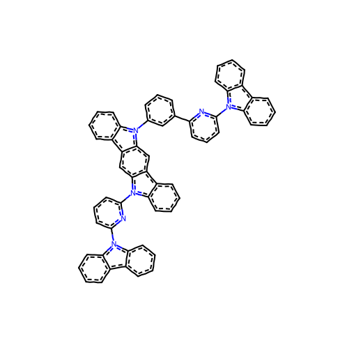 c1cc(-c2cccc(-n3c4ccccc4c4ccccc43)n2)cc(-n2c3ccccc3c3cc4c(cc32)c2ccccc2n4-c2cccc(-n3c4ccccc4c4ccccc43)n2)c1